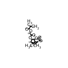 C=C(C)C(=O)OCC(=O)OC1C2OS(=O)(=O)C3CC1C(C)(C)C23